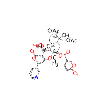 CC(=O)OCC1(C)C2C[C@H](OC(=O)c3ccc(=O)oc3)[C@@]3(C)Oc4cc(-c5cccnc5)oc(=O)c4[C@H](O)C3[C@@]2(C)CC[C@@H]1OC(C)=O